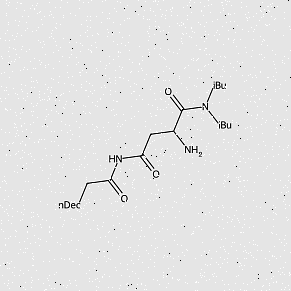 CCCCCCCCCCCC(=O)NC(=O)CC(N)C(=O)N(C(C)CC)C(C)CC